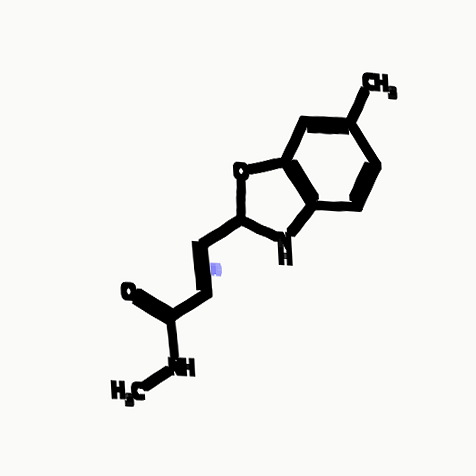 CNC(=O)/C=C/C1Nc2ccc(C)cc2O1